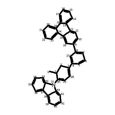 CC1CC(c2cccc(-c3ccc4c5ccccc5c5ccccc5c4c3)c2)=CC=C1n1c2ccccc2c2ccccc21